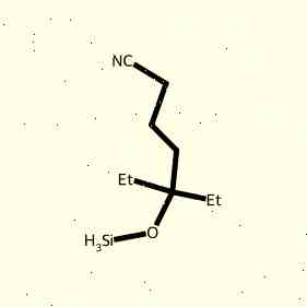 CCC(CC)(CCCC#N)O[SiH3]